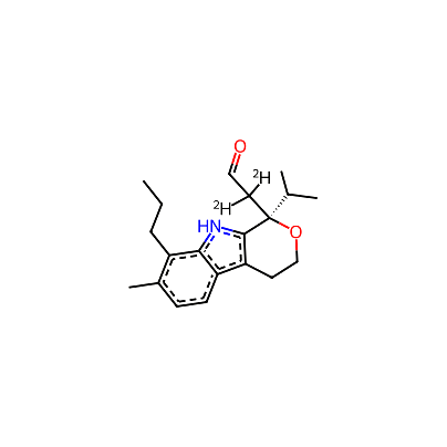 [2H]C([2H])(C=O)[C@@]1(C(C)C)OCCc2c1[nH]c1c(CCC)c(C)ccc21